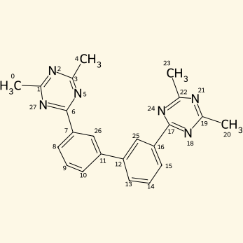 Cc1nc(C)nc(-c2cccc(-c3cccc(-c4nc(C)nc(C)n4)c3)c2)n1